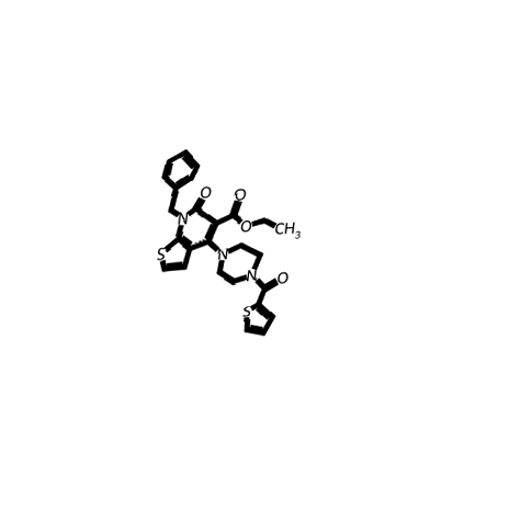 CCOC(=O)c1c(N2CCN(C(=O)c3cccs3)CC2)c2ccsc2n(Cc2ccccc2)c1=O